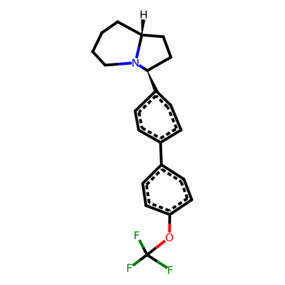 FC(F)(F)Oc1ccc(-c2ccc([C@@H]3CC[C@H]4CCCCN43)cc2)cc1